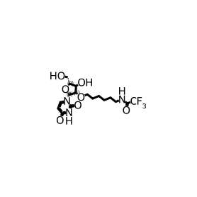 O=C(NCCCCCCO[C@H]1C(O)[C@@H](CO)O[C@H]1n1ccc(=O)[nH]c1=O)C(F)(F)F